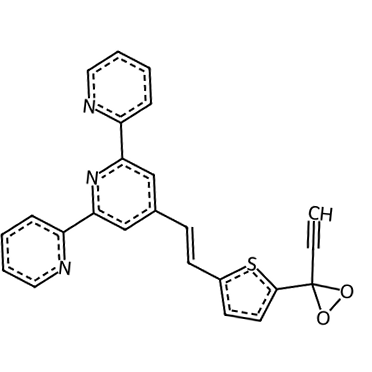 C#CC1(c2ccc(/C=C/c3cc(-c4ccccn4)nc(-c4ccccn4)c3)s2)OO1